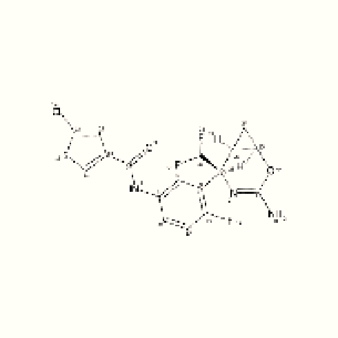 NC1=N[C@@](c2cc(NC(=O)c3csc(Cl)c3)ccc2F)(C(F)F)[C@H]2C[C@H]2O1